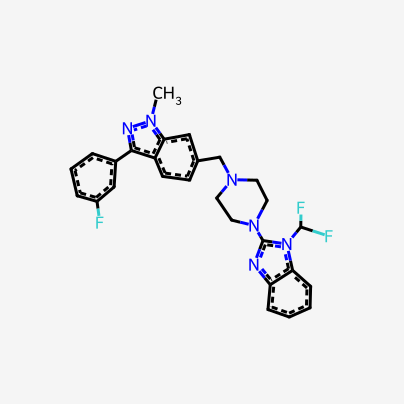 Cn1nc(-c2cccc(F)c2)c2ccc(CN3CCN(c4nc5ccccc5n4C(F)F)CC3)cc21